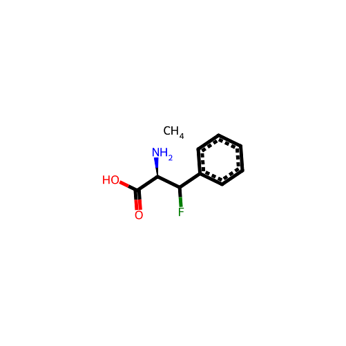 C.N[C@H](C(=O)O)C(F)c1ccccc1